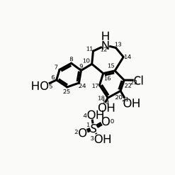 O=S(=O)(O)O.Oc1ccc(C2CNCCc3c2cc(O)c(O)c3Cl)cc1